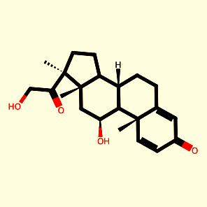 C[C@]12C=CC(=O)C=C1CC[C@@H]1C2[C@@H](O)C[C@@]2(C)C1CC[C@]2(C)C(=O)CO